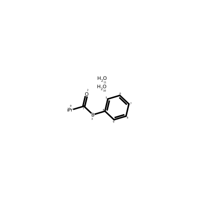 CC(C)C(=O)[B]c1ccccc1.O.O